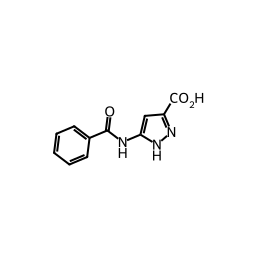 O=C(Nc1cc(C(=O)O)n[nH]1)c1ccccc1